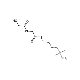 CC(C)(N)CCCCOC(=O)CNC(=O)CO